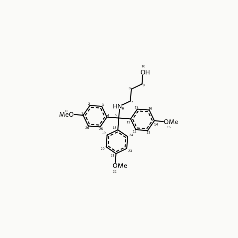 COc1ccc(C(NCCCO)(c2ccc(OC)cc2)c2ccc(OC)cc2)cc1